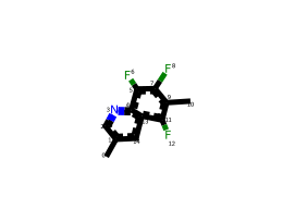 Cc1cnc2c(F)c(F)c(C)c(F)c2c1